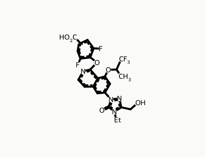 CCn1c(CO)nn(-c2cc(OC(C)C(F)(F)F)c3c(Oc4c(F)cc(C(=O)O)cc4F)nccc3c2)c1=O